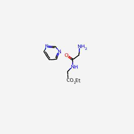 CCOC(=O)CNC(=O)CN.c1cncnc1